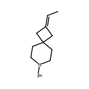 CC=C1CC2(CCN(C(C)C)CC2)C1